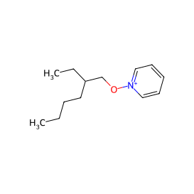 CCCCC(CC)CO[n+]1ccccc1